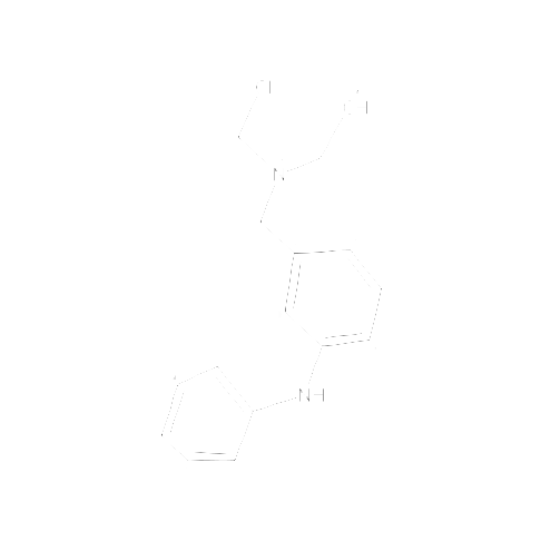 CCN(CC)Cc1cccc(Nc2ccccc2)c1